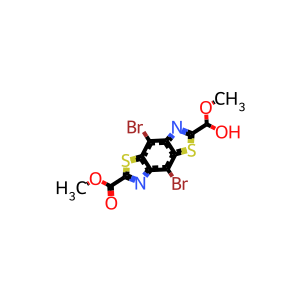 COC(=O)c1nc2c(Br)c3sc(C(O)OC)nc3c(Br)c2s1